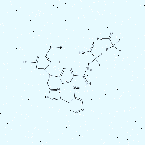 CCc1cc(OC(C)C)c(F)c(N(Cc2nc(-c3ccccc3OC)c[nH]2)c2ccc(C(=N)N)cc2)c1.O=C(O)C(F)(F)F.O=C(O)C(F)(F)F